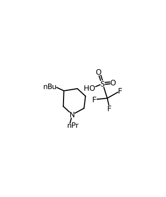 CCCCC1CCCN(CCC)C1.O=S(=O)(O)C(F)(F)F